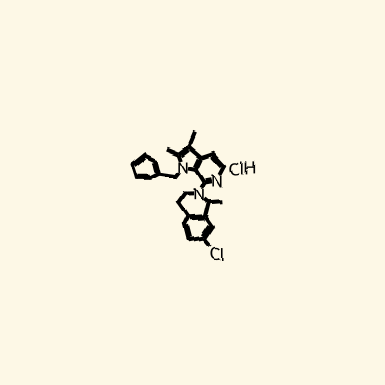 Cc1c(C)n(Cc2ccccc2)c2c(N3CCc4ccc(Cl)cc4C3C)nccc12.Cl